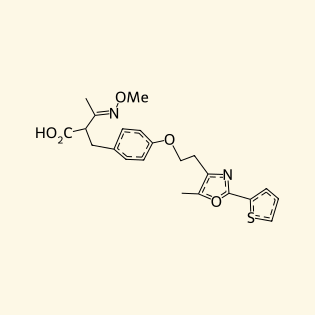 CON=C(C)C(Cc1ccc(OCCc2nc(-c3cccs3)oc2C)cc1)C(=O)O